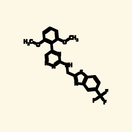 COc1cccc(OC)c1-c1cnnc(NCc2nc3cc(C(F)(F)F)ccc3s2)n1